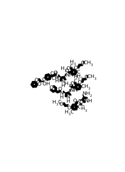 COCCCOc1c(C)ccc(C(=O)NC[C@@H]2CNC[C@H]2CNC(=O)C(C)(C)c2ccccc2)c1C(C)C.COCCCOc1c(C)ccc(C(=O)NC[C@@H]2CNC[C@H]2CNC(=O)CC2CCOCC2)c1C(C)C.COCCCOc1cc(C(=O)N(C[C@@H]2CNC[C@@H]2CN)C(C)C)ccc1C.O=C(O)[C@@H]1COc2ccccc2O1